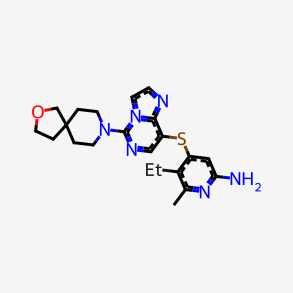 CCc1c(Sc2cnc(N3CCC4(CCOC4)CC3)n3ccnc23)cc(N)nc1C